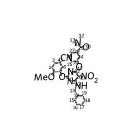 COc1ccc(C#N)cc1Oc1nc(NCc2ccccc2)c([N+](=O)[O-])c(Oc2cccc(C(=O)N(C)C)c2)n1